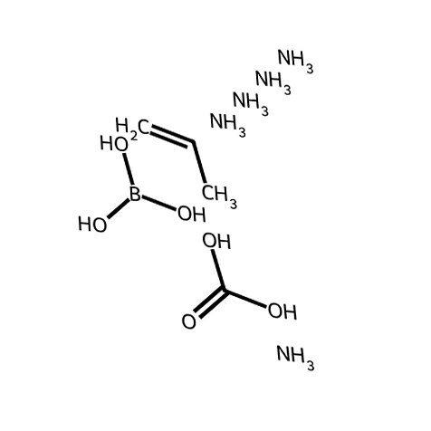 C=CC.N.N.N.N.N.O=C(O)O.OB(O)O